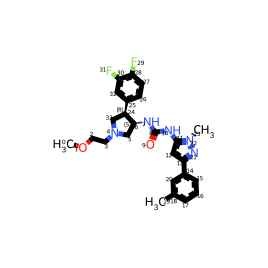 COCCN1C[C@@H](NC(=O)Nc2cc(-c3cccc(C)c3)nn2C)[C@H](c2ccc(F)c(F)c2)C1